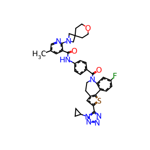 Cc1cnc(N2CC3(CCOCC3)C2)c(C(=O)Nc2ccc(C(=O)N3CCc4cc(-c5nnnn5C5CC5)sc4-c4ccc(F)cc43)cc2)c1